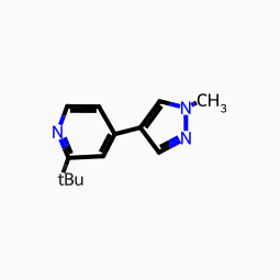 Cn1cc(-c2ccnc(C(C)(C)C)c2)cn1